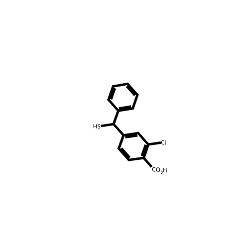 O=C(O)c1ccc(C(S)c2ccccc2)cc1Cl